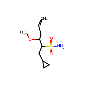 C=CCC(OC)C(CC1CC1)S(N)(=O)=O